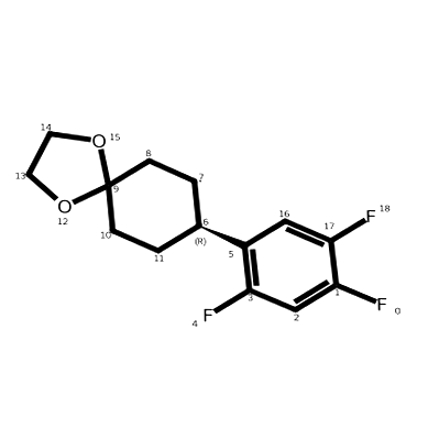 Fc1cc(F)c([C@@H]2[CH]CC3(CC2)OCCO3)cc1F